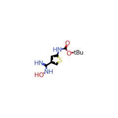 CC(C)(C)OC(=O)Nc1cc(C(=N)NO)cs1